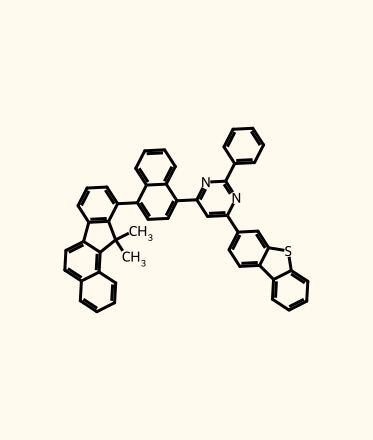 CC1(C)c2c(cccc2-c2ccc(-c3cc(-c4ccc5c(c4)sc4ccccc45)nc(-c4ccccc4)n3)c3ccccc23)-c2ccc3ccccc3c21